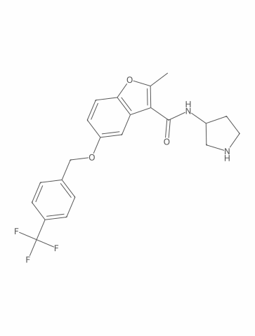 Cc1oc2ccc(OCc3ccc(C(F)(F)F)cc3)cc2c1C(=O)NC1CCNC1